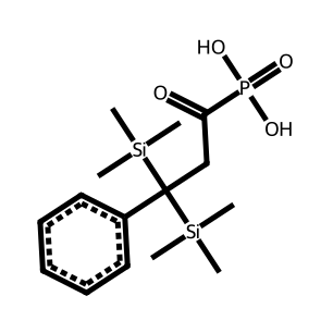 C[Si](C)(C)C(CC(=O)P(=O)(O)O)(c1ccccc1)[Si](C)(C)C